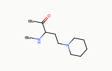 CC(C)(C)NC(CCN1CCCCC1)C(=O)C(C)(C)C